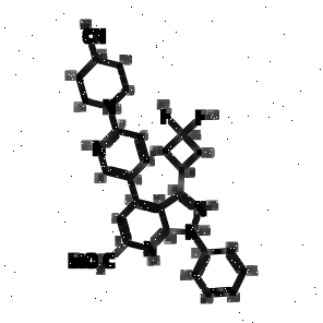 CCOC(=O)c1cc(-c2ccc(N3CCC(C#N)CC3)nc2)c2c(C3CC(F)(F)C3)nn(-c3ccccc3)c2n1